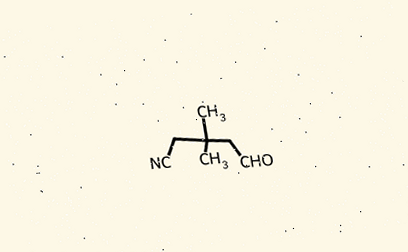 CC(C)(CC#N)CC=O